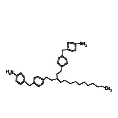 CCCCCCCCCCCC(CCc1ccc(Cc2ccc(N)cc2)cc1)CCc1ccc(Cc2ccc(N)cc2)cc1